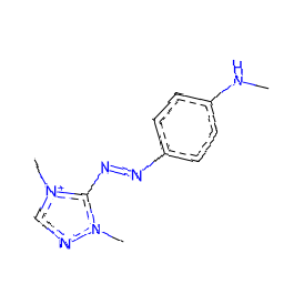 CNc1ccc(N=Nc2n(C)nc[n+]2C)cc1